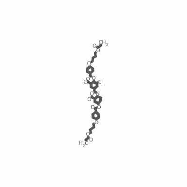 C=CC(=O)OCCCCOc1ccc(C(=O)Oc2ccc3nc(-c4cc(Cl)c(OC(=O)c5ccc(OCCCCOC(=O)C=C)cc5)c(Cl)c4)oc(=O)c3c2)cc1